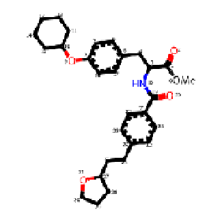 COC(=O)C(Cc1ccc(OC2CCCCC2)cc1)NC(=O)c1ccc(CCC2CCCO2)cc1